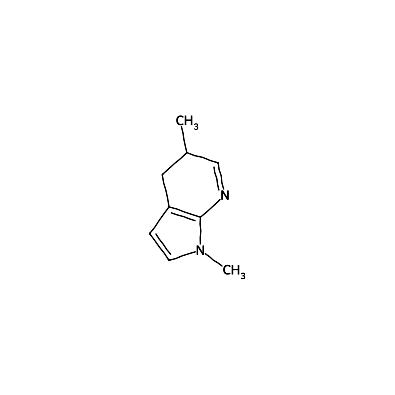 CC1C=Nc2c(ccn2C)C1